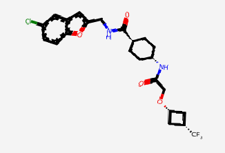 O=C(CO[C@H]1C[C@@H](C(F)(F)F)C1)N[C@H]1CC[C@H](C(=O)NCc2cc3cc(Cl)ccc3o2)CC1